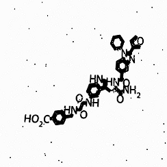 NC(=O)[C@H](Cc1c[nH]c2ccc(NC(=O)C(=O)NCc3ccc(C(=O)O)cc3)cc12)NC(=O)c1ccc2c(c1)nc(-c1ccoc1)n2C1CCCCC1